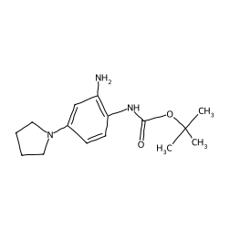 CC(C)(C)OC(=O)Nc1ccc(N2CCCC2)cc1N